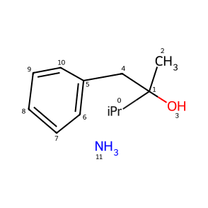 CC(C)C(C)(O)Cc1ccccc1.N